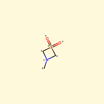 CN1CS(=O)(=O)C1